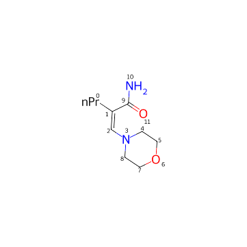 CCCC(=CN1CCOCC1)C(N)=O